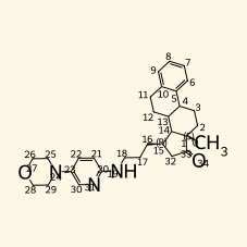 C[C@]12CCC3c4ccccc4CCC3C1[C@H](CCCNc1ccc(N3CCOCC3)cn1)CC2=O